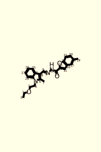 CCOCCn1c(C)c(/C=N/NC(=O)c2cc3cc(C)ccc3o2)c2ccccc21